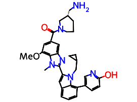 COc1cc(C(=O)N2CCC[C@@H](CN)C2)cc2nc(-c3cc4cccc(-c5ccc(O)nc5)c4n3CC3CC3)n(C)c12